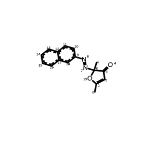 CC1=CC(=O)C(C)(N=Nc2ccc3ccccc3c2)O1